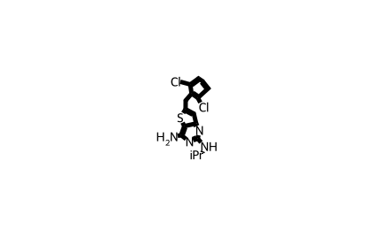 CC(C)Nc1nc(N)c2sc(Cc3c(Cl)cccc3Cl)cc2n1